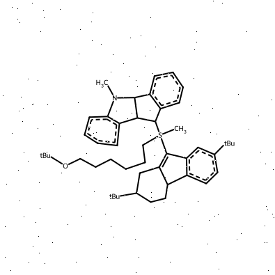 CN1c2ccccc2C2C1c1ccccc1C2S(C)(CCCCCCOC(C)(C)C)C1=C2CC(C(C)(C)C)CCC2c2ccc(C(C)(C)C)cc21